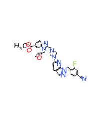 COC(=O)c1ccc2nc(CN3CCN(c4ccc5cnn(Cc6ccc(C#N)cc6F)c5n4)CC3)n(C[C@@H]3CCO3)c2c1